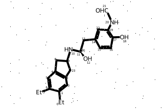 CCc1cc2c(cc1CC)CC(N[C@H](O)Cc1ccc(O)c(NC=O)c1)C2